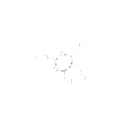 CCc1c(C)nc(N)nc1OC